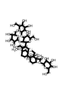 CO[C@]12CC[C@@H]3[C@](CC[C@H]4[C@@]3(C)CCC[C@@]4(C)C(=O)OC3OC(CO)C(O)C(O)C3O)(CC(C3OC(CO)C(O)C(OC4OC(CO)C(O)C(O)C4O)C3OC3OC(CO)C(O)C(O)C3O)=C1CO)C2